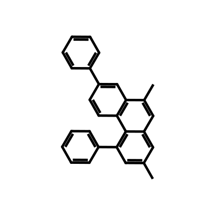 Cc1cc(-c2ccccc2)c2c(c1)cc(C)c1cc(-c3ccccc3)ccc12